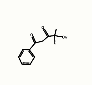 CC(C)(O)C(=O)CC(=O)c1ccccc1